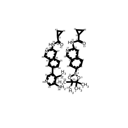 CC1(C)OB(c2ccc3cc(NC(=O)C4CC4)ncc3c2)OC1(C)C.Cc1c(N)cncc1-c1ccc2cc(NC(=O)C3CC3)ncc2c1